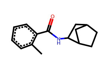 Cc1ccccc1C(=O)NC1CC2CCC1C2